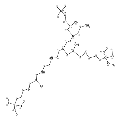 CO[Si](CCCOCC(O)CNCCNCCN(CCN(CCN)CC(O)COC(C)(C)C)CC(O)COCCC[Si](OC)(OC)OC)(OC)OC